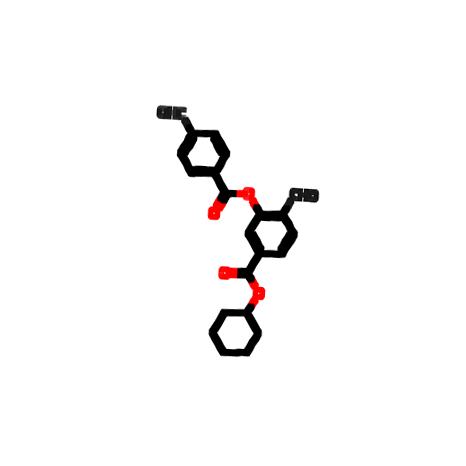 O=Cc1ccc(C(=O)Oc2cc(C(=O)OC3CCCCC3)ccc2C=O)cc1